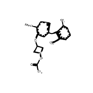 COc1ccc(-c2c(Cl)cccc2C(F)(F)F)cc1OC1CN(OC(=O)C(F)(F)F)C1